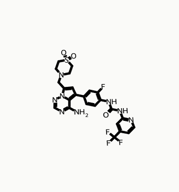 Nc1ncnn2c(CN3CCS(=O)(=O)CC3)cc(-c3ccc(NC(=O)Nc4cc(C(F)(F)F)ccn4)c(F)c3)c12